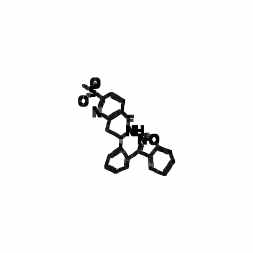 CS(=O)(=O)c1ccc(F)c(CC(N)c2ccccc2-c2noc3ccccc23)n1